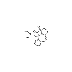 CCN(CC)CCC1(C(=O)N=O)c2ccccc2COc2ccccc21